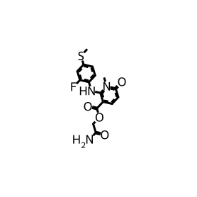 CSc1ccc(Nc2c(C(=O)OCC(N)=O)ccc(=O)n2C)c(F)c1